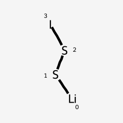 [Li][S]SI